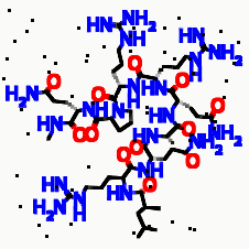 CNC(=O)[C@H](CCC(N)=O)NC(=O)[C@@H]1CCCN1C(=O)[C@H](CCCNC(=N)N)NC(=O)[C@H](CCCNC(=N)N)NC(=O)[C@H](CCC(N)=O)NC(=O)[C@H](C)NC(=O)[C@H](CCC(N)=O)NC(=O)[C@H](CCCNC(=N)N)NC(=O)[C@@H](C)CC(C)C